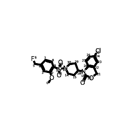 COc1cc(CF)ccc1S(=O)(=O)N1CCC(N2C(=O)OCc3cc(Cl)ccc32)CC1